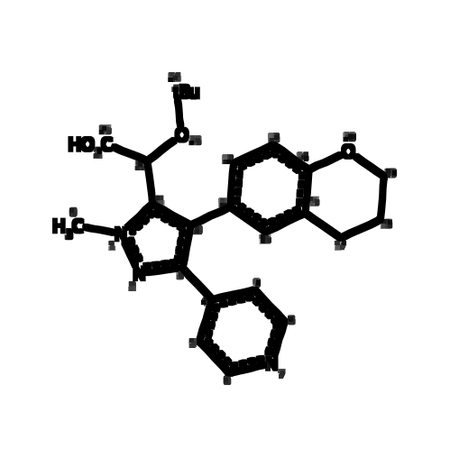 Cn1nc(-c2ccncc2)c(-c2ccc3c(c2)CCCO3)c1C(OC(C)(C)C)C(=O)O